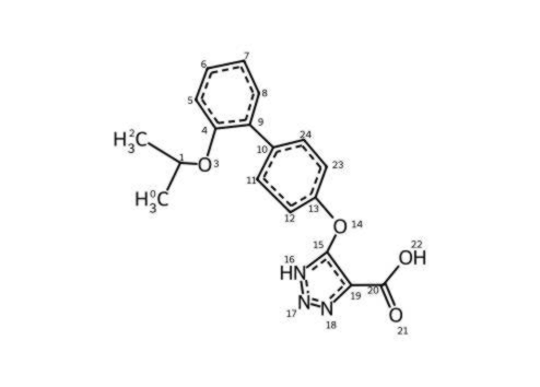 CC(C)Oc1ccccc1-c1ccc(Oc2[nH]nnc2C(=O)O)cc1